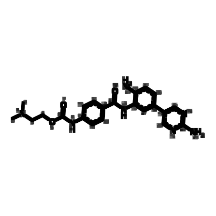 CN(C)CCOC(=O)Nc1ccc(C(=O)Nc2cc(-c3cnc(N)nc3)ccc2N)cc1